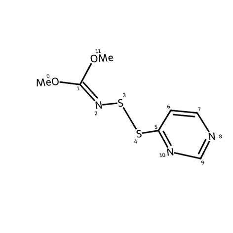 COC(=NSSc1ccncn1)OC